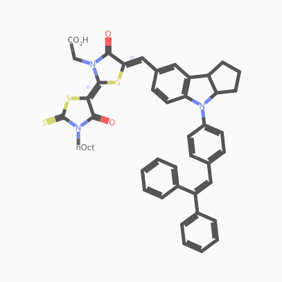 CCCCCCCCN1C(=O)/C(=c2\s/c(=C\c3ccc4c(c3)C3CCCC3N4c3ccc(C=C(c4ccccc4)c4ccccc4)cc3)c(=O)n2CC(=O)O)SC1=S